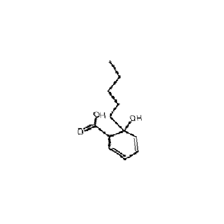 CCCCCC1(O)C=CC=CC1C(=O)O